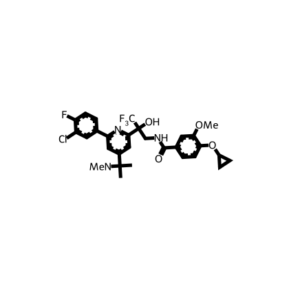 CNC(C)(C)c1cc(-c2ccc(F)c(Cl)c2)nc(C(O)(CNC(=O)c2ccc(OC3CC3)c(OC)c2)C(F)(F)F)c1